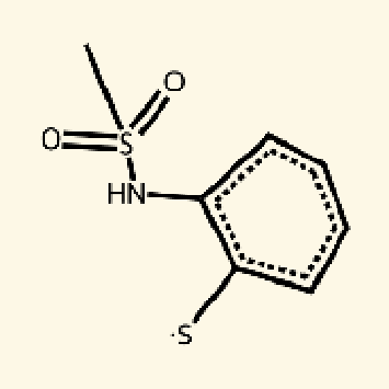 CS(=O)(=O)Nc1ccccc1[S]